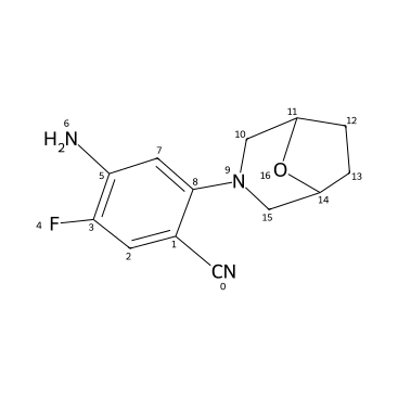 N#Cc1cc(F)c(N)cc1N1CC2CCC(C1)O2